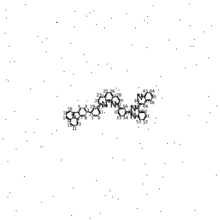 c1cc(-c2ccc3c(c2)-c2cccc4cccc-3c24)cc(-c2ccc3ccc4ccc(-c5cccc(-c6nc(-c7cnc8ccccc8c7)c7ccccc7n6)c5)nc4c3n2)c1